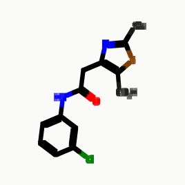 CC(C)(C)c1nc(CC(=O)Nc2cccc(Cl)c2)c(C(=O)O)s1